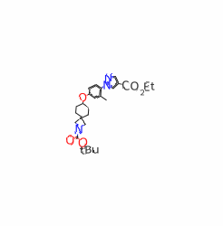 CCOC(=O)c1cnn(-c2ccc(OC3CCC4(CC3)CN(C(=O)OC(C)(C)C)C4)cc2C)c1